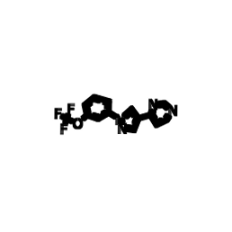 FC(F)(F)Oc1cccc(-n2cc(-c3ccncn3)cn2)c1